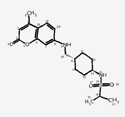 Cc1cc(=O)oc2cc(NC[C@H]3CC[C@H](NS(=O)(=O)C(C)C)CC3)ccc12